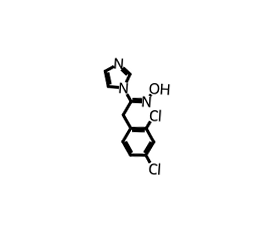 ON=C(Cc1ccc(Cl)cc1Cl)n1ccnc1